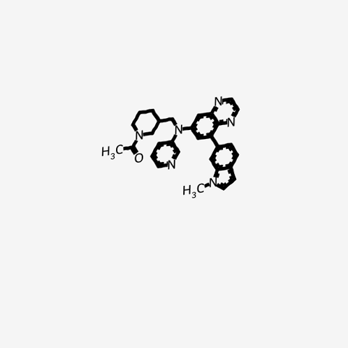 CC(=O)N1CCCC(CN(c2cccnc2)c2cc(-c3ccc4ccn(C)c4c3)c3nccnc3c2)C1